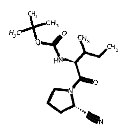 CCC(C)[C@H](NC(=O)OC(C)(C)C)C(=O)N1CCC[C@H]1C#N